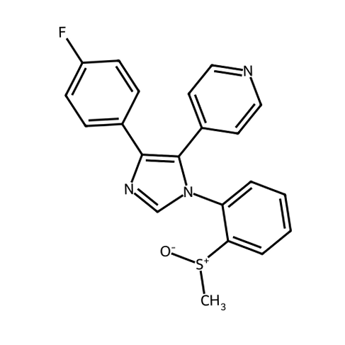 C[S+]([O-])c1ccccc1-n1cnc(-c2ccc(F)cc2)c1-c1ccncc1